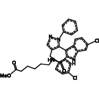 COC(=O)CCCCCNC(=O)c1[nH]c2cc(Cl)ccc2c1-c1c(Cc2ccc(Cl)cc2)cnn1-c1ccccc1